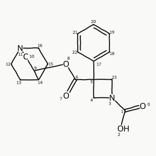 O=C(O)N1CC(C(=O)OC2CN3CCC2CC3)(c2ccccc2)C1